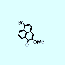 COC1=Cc2ccc(Br)c3cccc(c23)C1=O